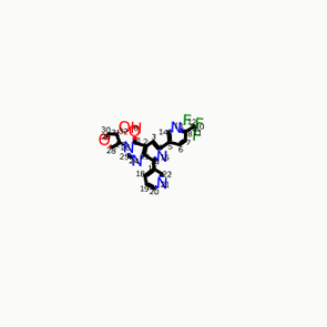 O=c1c2cc(-c3ccc(C(F)(F)F)nc3)nc(-c3cccnc3)c2ncn1[C@H]1COC[C@@H]1O